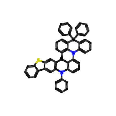 c1ccc(N2c3cc4c(cc3B3c5cccc6c5N(c5ccccc5[Si]6(c5ccccc5)c5ccccc5)c5cccc2c53)sc2ccccc24)cc1